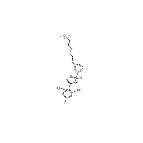 Cc1cc(F)cc(C)c1C(=O)NS(=O)(=O)c1cccc(CCCCCCC(=O)O)c1